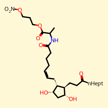 CCCCCCCC(=O)CC[C@@H]1[C@@H](C/C=C\CCCC(=O)NC(C)C(=O)OCCCO[N+](=O)[O-])[C@@H](O)C[C@H]1O